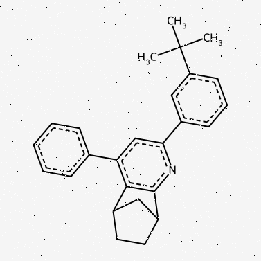 CC(C)(C)c1cccc(-c2cc(-c3ccccc3)c3c(n2)C2CCC3C2)c1